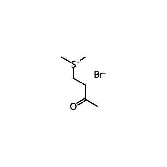 CC(=O)CC[S+](C)C.[Br-]